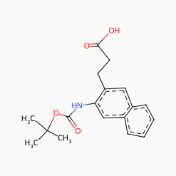 CC(C)(C)OC(=O)Nc1cc2ccccc2cc1CCC(=O)O